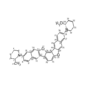 CC1CCCCN1c1ccc2cc3c(cc2c1)oc1c3ccc2oc3cc4cc(N5CCCCC5C)ccc4cc3c21